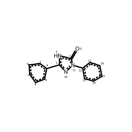 O=c1[nH]c(-c2ccccc2)nn1-c1ccccc1